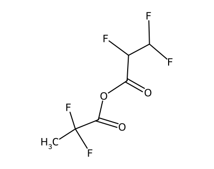 CC(F)(F)C(=O)OC(=O)C(F)C(F)F